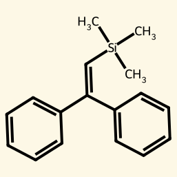 C[Si](C)(C)C=C(c1ccccc1)c1ccccc1